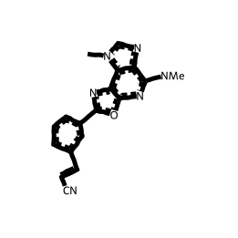 CNc1nc2oc(-c3cccc(C=CC#N)c3)nc2c2c1ncn2C